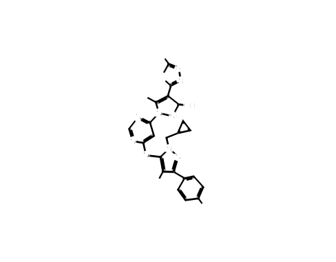 CCc1c(-c2ccc(F)cc2)nn(CC2CC2)c1Nc1cc(N2NC(C)C(c3nnc(C)o3)=C2C)ncn1